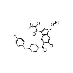 CCOCn1cc(C(=O)C(=O)N(C)C)c2cc(C(=O)N3CCC(Cc4ccc(F)cc4)CC3)c(Cl)cc21